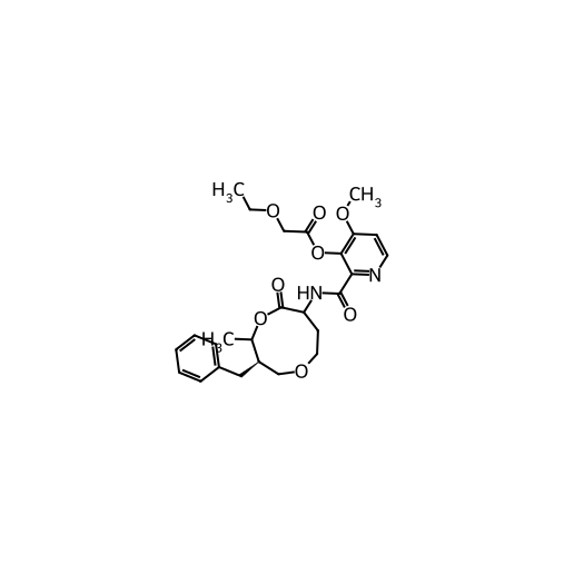 CCOCC(=O)Oc1c(OC)ccnc1C(=O)NC1CCOC[C@@H](Cc2ccccc2)C(C)OC1=O